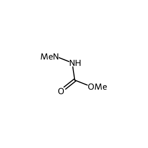 CNNC(=O)OC